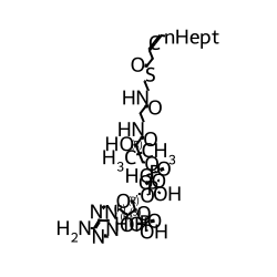 CCCCCCCC=C=CCC(=O)SCCNC(=O)CCNC(=O)[C@H](O)C(C)(C)COP(=O)(O)OP(=O)(O)OC[C@H]1O[C@@H](n2cnc3c(N)ncnc32)[C@H](O)[C@@H]1OP(=O)(O)O